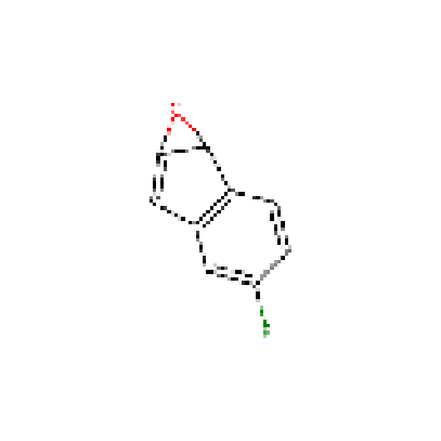 Fc1ccc2c(c1)C=C1OC12